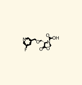 O=C1OCN(C(=O)O)[C@H]1COCc1cncc(F)c1